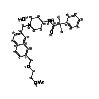 COCCOCc1ccc2ccc(CN3CCC(NC(=O)C(C)(C)c4ccccc4)CC3)cc2c1.Cl